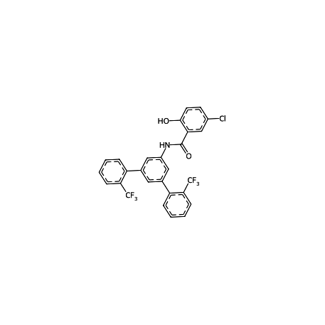 O=C(Nc1cc(-c2ccccc2C(F)(F)F)cc(-c2ccccc2C(F)(F)F)c1)c1cc(Cl)ccc1O